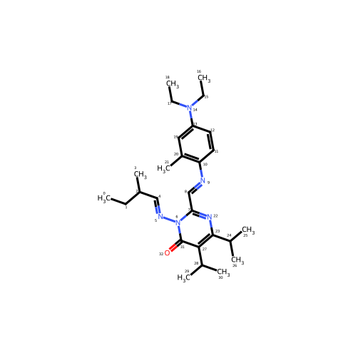 CCC(C)/C=N/n1c(C=Nc2ccc(N(CC)CC)cc2C)nc(C(C)C)c(C(C)C)c1=O